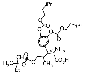 CCC(C)(C)OC(=O)OCC(C)C(c1ccc(OC(=O)OCCC(C)C)c(OC(=O)OCCC(C)C)c1)[C@H](N)C(=O)O